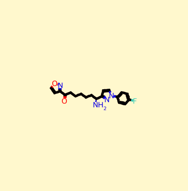 N[C@@H](CCCCCC(=O)c1ccon1)c1ccn(-c2ccc(F)cc2)n1